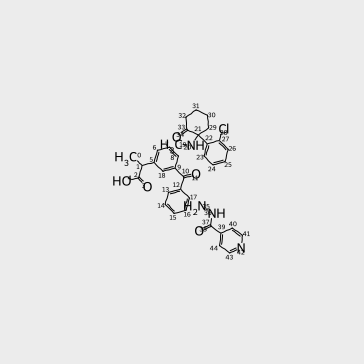 CC(C(=O)O)c1cccc(C(=O)c2ccccc2)c1.CNC1(c2ccccc2Cl)CCCCC1=O.NNC(=O)c1ccncc1